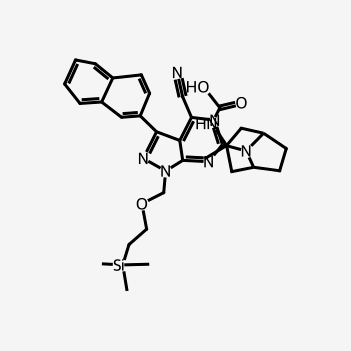 CC1(NC(=O)O)CC2CCC(C1)N2c1nc(C#N)c2c(-c3ccc4ccccc4c3)nn(COCC[Si](C)(C)C)c2n1